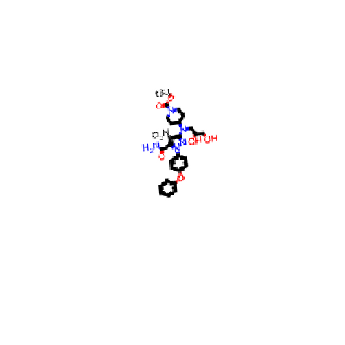 CC(C)(C)OC(=O)N1CCC(N(CC(O)CO)c2nn(-c3ccc(Oc4ccccc4)cc3)c(C(N)=O)c2[N+](=O)[O-])CC1